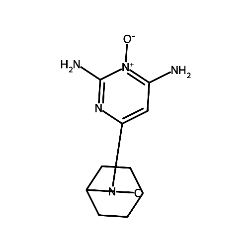 Nc1cc(N2CC3CCC(CC3)C2)nc(N)[n+]1[O-]